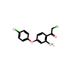 Cc1cc(Oc2ccc(Cl)cc2)ccc1C(=O)CBr